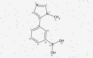 Cn1cncc1-c1cccc(B(O)O)c1